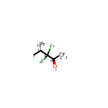 CC(C)[C@@H](C)C(F)(F)C(=O)C(F)(F)F